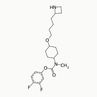 CN(C(=O)Oc1ccc(F)c(F)c1)C1CCC(OCCCCC2CCN2)CC1